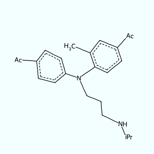 CC(=O)c1ccc(N(CCCNC(C)C)c2ccc(C(C)=O)cc2C)cc1